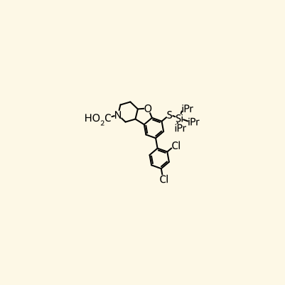 CC(C)[Si](Sc1cc(-c2ccc(Cl)cc2Cl)cc2c1OC1CCN(C(=O)O)CC21)(C(C)C)C(C)C